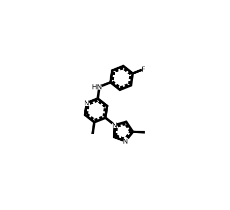 Cc1cn(-c2cc(Nc3ccc(F)cc3)ncc2C)cn1